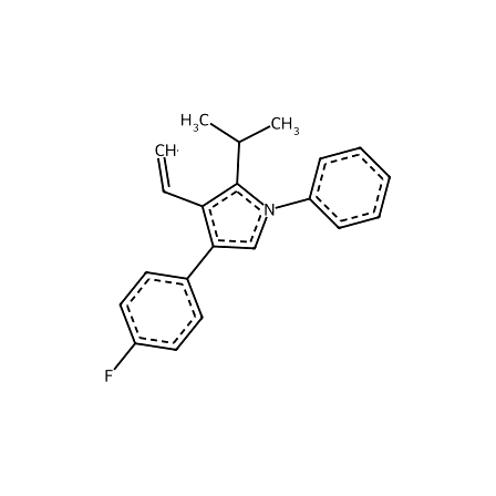 [CH]=Cc1c(-c2ccc(F)cc2)cn(-c2ccccc2)c1C(C)C